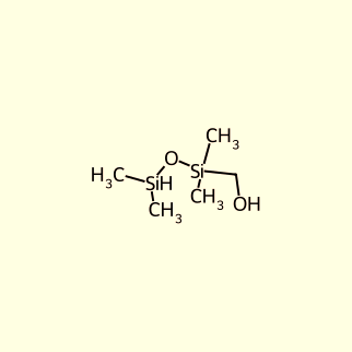 C[SiH](C)O[Si](C)(C)CO